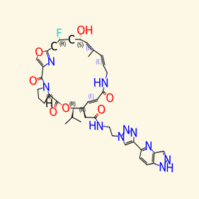 CC1=C\[C@@H](O)C[C@@H](F)Cc2nc(co2)C(=O)N2CCC[C@@H]2C(=O)O[C@H](C(C)C)[C@H](CC(=O)NCCn2cc(-c3ccc4[nH]ncc4n3)nn2)/C=C/C(=O)NC\C=C\1